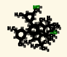 CC[CH2][Zr]([CH3])(=[SiH2])([CH]1C(C(C)(C)C)=C(C)c2c(-c3cc(C)cc(C)c3)cccc21)[CH]1C(C(C)(C)C)=C(C)c2c(-c3cc(C)cc(C)c3)cccc21.Cl.Cl